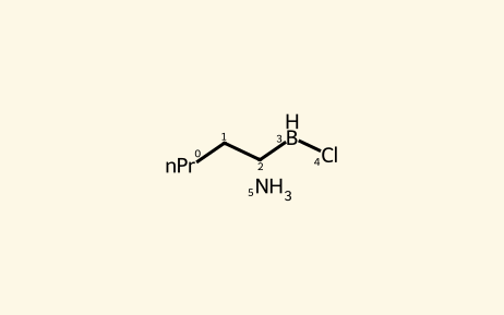 CCCCCBCl.N